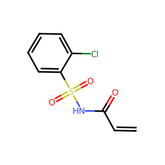 C=CC(=O)NS(=O)(=O)c1ccccc1Cl